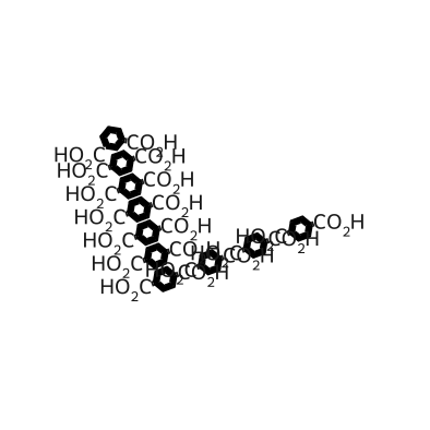 O=C(O)c1ccc(C(=O)O)cc1.O=C(O)c1ccc(C(=O)O)cc1.O=C(O)c1ccc(C(=O)O)cc1.O=C(O)c1ccc(C(=O)O)cc1.O=C(O)c1ccc(C(=O)O)cc1.O=C(O)c1ccc(C(=O)O)cc1.O=C(O)c1ccc(C(=O)O)cc1.O=C(O)c1ccc(C(=O)O)cc1.O=C(O)c1ccc(C(=O)O)cc1.O=C(O)c1cccc(C(=O)O)c1